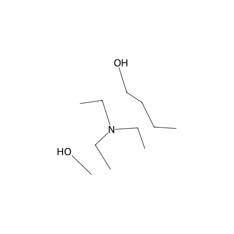 CCCCO.CCN(CC)CC.CO